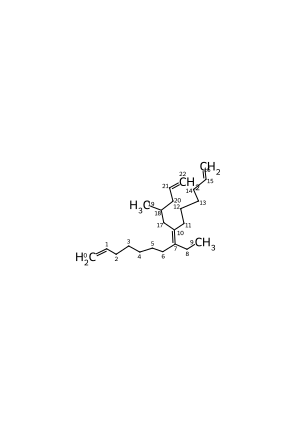 C=CCCCCCC(CC)=C(CCCCC=C)CC(C)CC=C